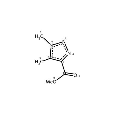 COC(=O)c1nnn(C)c1C